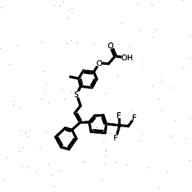 Cc1cc(OCC(=O)O)ccc1SC/C=C(/c1ccccc1)c1ccc(C(F)(F)CF)cc1